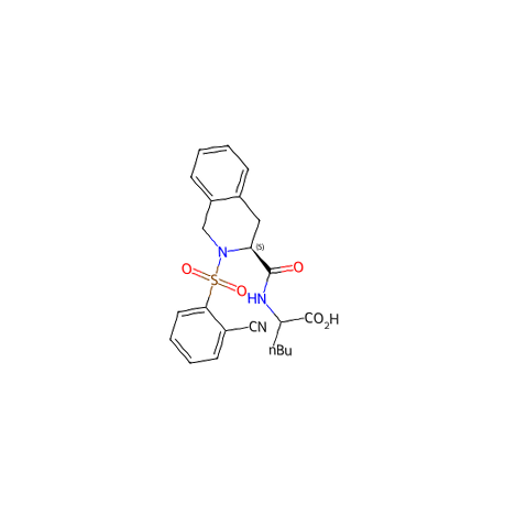 CCCCC(NC(=O)[C@@H]1Cc2ccccc2CN1S(=O)(=O)c1ccccc1C#N)C(=O)O